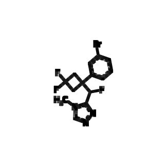 Cn1cnnc1C(F)C1(c2cccc(Br)c2)CC(F)(F)C1